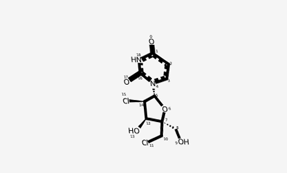 O=c1ccn([C@@H]2O[C@@](CO)(CCl)[C@@H](O)[C@H]2Cl)c(=O)[nH]1